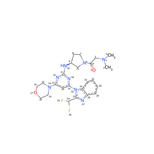 CN(C)CC(=O)N1CC[C@H](Nc2nc(N3CCOCC3)cc(-n3c(C(F)F)nc4ccccc43)n2)C1